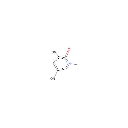 Cn1cc(N=O)cc(N=O)c1=O